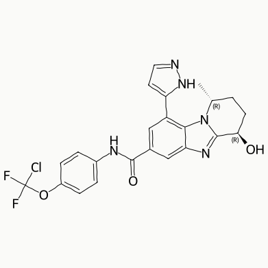 C[C@@H]1CC[C@@H](O)c2nc3cc(C(=O)Nc4ccc(OC(F)(F)Cl)cc4)cc(-c4ccn[nH]4)c3n21